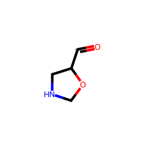 O=[C]C1CNCO1